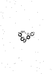 Nc1cc(-c2ccc3ncn(-c4ccc(N5CCOCC5)c(Cl)c4)c3n2)ccn1